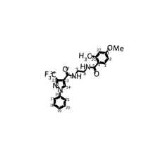 COc1ccc(C(=O)NCCNC(=O)c2cn(-c3ccccc3)nc2C(F)(F)F)c(C)c1